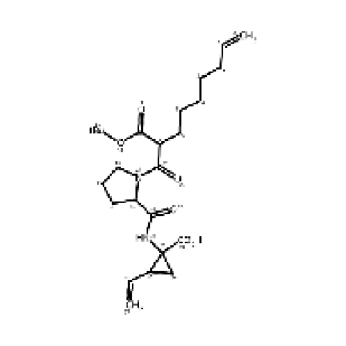 C=CCCCCCC(C(=O)OC(C)(C)C)C(=O)N1CCCC1C(=O)NC1(C(=O)O)CC1C=C